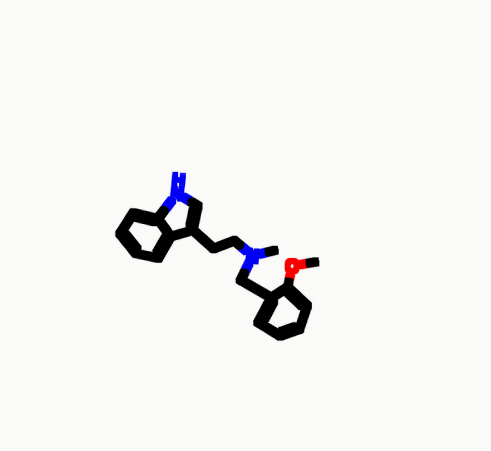 COc1ccccc1CN(C)CCc1c[nH]c2ccccc12